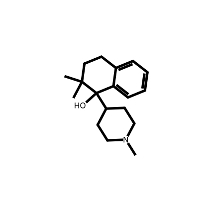 CN1CCC(C2(O)c3ccccc3CCC2(C)C)CC1